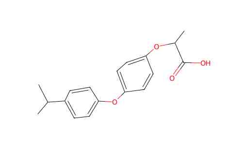 CC(Oc1ccc(Oc2ccc(C(C)C)cc2)cc1)C(=O)O